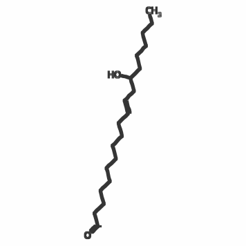 CCCCCCC(O)CC=CCCCCCCCCC[C]=O